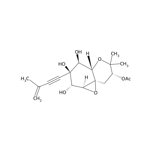 C=C(C)C#C[C@]1(O)[C@@H](O)[C@@H]2OC(C)(C)[C@H](OC(C)=O)C[C@@]23O[C@H]3[C@@H]1O